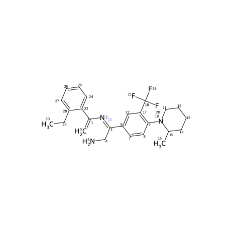 C=C(/N=C(\CN)c1ccc(N2CCCCC2C)c(C(F)(F)F)c1)c1ccccc1CC